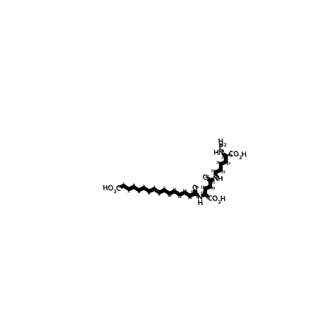 O=C(O)CCCCCCCCCCCCCCC(=O)NC(CCC(=O)NCCCC[C@H](NP)C(=O)O)C(=O)O